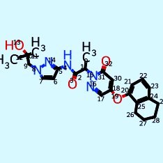 CC(C(=O)Nc1ccn(CC(C)(C)O)n1)n1ncc(Oc2cccc3c2CCCC3)cc1=O